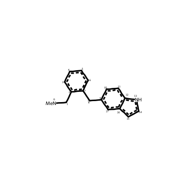 CNCc1ccccc1[C]c1ccc2[nH]ccc2c1